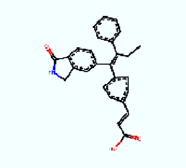 CCC(=C(c1ccc(C=CC(=O)O)cc1)c1ccc2c(c1)CNC2=O)c1ccccc1